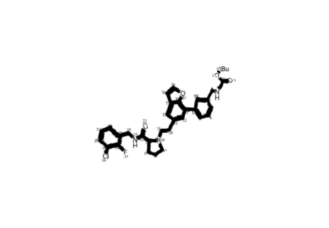 CC(C)(C)OC(=O)NCc1cccc(-c2cc(CCN3CCCC3C(=O)NCc3cccc(Cl)c3F)cc3ccoc23)c1